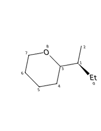 CC[C@H](C)C1CCCCO1